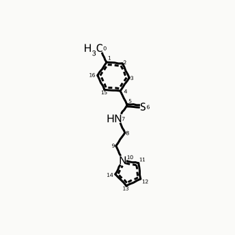 Cc1ccc(C(=S)NCCn2cccc2)cc1